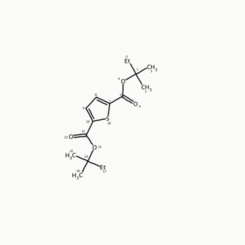 CCC(C)(C)OC(=O)c1ccc(C(=O)OC(C)(C)CC)s1